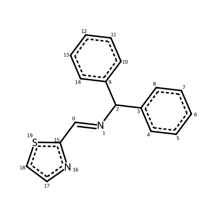 C(=NC(c1ccccc1)c1ccccc1)c1nccs1